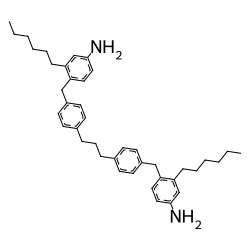 CCCCCCc1cc(N)ccc1Cc1ccc(CCCc2ccc(Cc3ccc(N)cc3CCCCCC)cc2)cc1